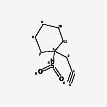 C#CCC1([SH](=O)=O)CCCCC1